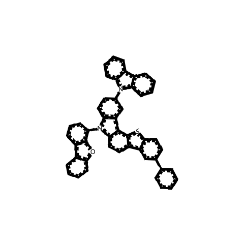 c1ccc(-c2ccc3sc4c(ccc5c4c4cc(-n6c7ccccc7c7ccccc76)ccc4n5-c4cccc5c4oc4ccccc45)c3c2)cc1